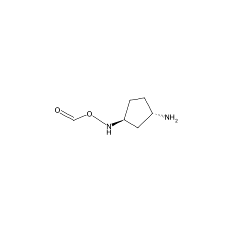 N[C@H]1CC[C@H](NOC=O)C1